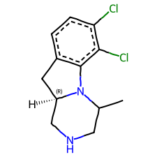 CC1CNC[C@H]2Cc3ccc(Cl)c(Cl)c3N12